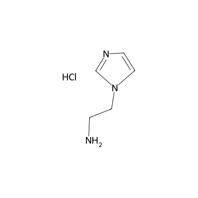 Cl.NCCn1ccnc1